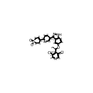 C[C@@H](Oc1ccc2[nH]nc(-c3ccc(C4=CCS(=O)(=O)CC4)nc3)c2c1)c1c(Cl)cncc1Cl